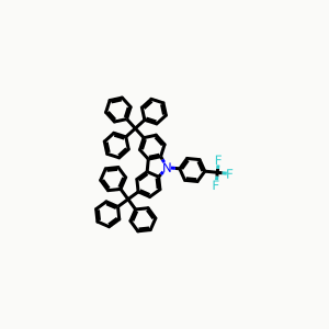 FC(F)(F)c1ccc(-n2c3ccc(C(c4ccccc4)(c4ccccc4)c4ccccc4)cc3c3cc(C(c4ccccc4)(c4ccccc4)c4ccccc4)ccc32)cc1